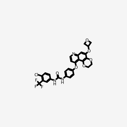 O=C(Nc1ccc(Oc2ccnc3cc(OC4COC4)c4c(c23)OCCO4)cc1)Nc1ccc(Cl)c(C(F)(F)F)c1